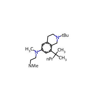 CCCC(C)(C)c1cc(N(C)CCNC)cc2c1CN(C(C)(C)C)CC2